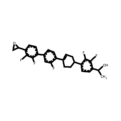 CC(O)c1ccc(C2CC=C(c3ccc(-c4ccc(C5CO5)c(F)c4F)cc3F)CC2)c(F)c1F